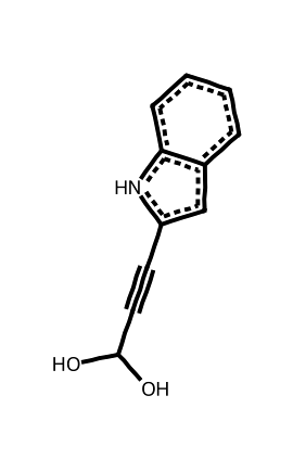 OC(O)C#Cc1cc2ccccc2[nH]1